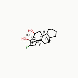 C[C@]12C(O)C[C@@H]3[C@@H](CC=C4CCCC[C@@]43C)[C@@H]1CC(F)C2O